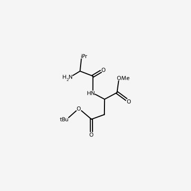 COC(=O)C(CC(=O)OC(C)(C)C)NC(=O)C(N)C(C)C